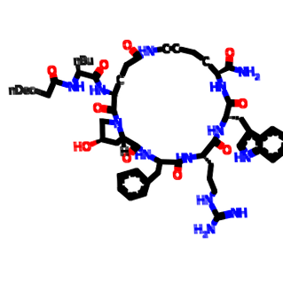 CCCCCCCCCCCC(=O)N[C@@H](CCCC)C(=O)N[C@H]1CCC(=O)NCCCC[C@@H](C(N)=O)NC(=O)[C@H](Cc2c[nH]c3ccccc23)NC(=O)[C@H](CCCNC(=N)N)NC(=O)C(Cc2ccccc2)NC(=O)[C@@H]2C[C@@H](O)CN2C1=O